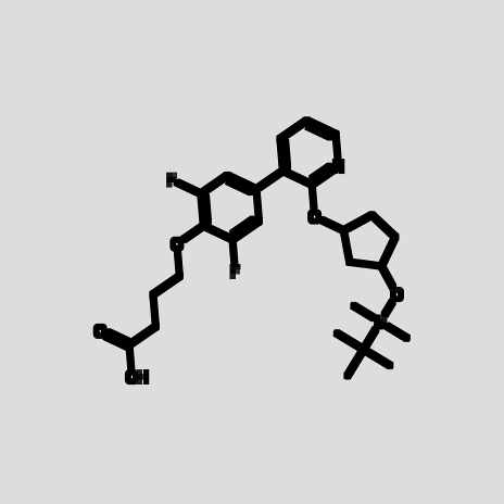 CC(C)(C)[Si](C)(C)OC1CCC(Oc2ncccc2-c2cc(F)c(OCCCC(=O)O)c(F)c2)C1